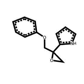 c1ccc(OCC2(c3ccc[nH]3)CO2)cc1